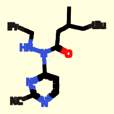 CC(C)CNN(C(=O)CC(C)CC(C)(C)C)c1ccnc(C#N)n1